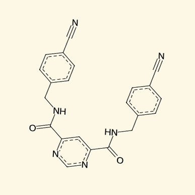 N#Cc1ccc(CNC(=O)c2cc(C(=O)NCc3ccc(C#N)cc3)ncn2)cc1